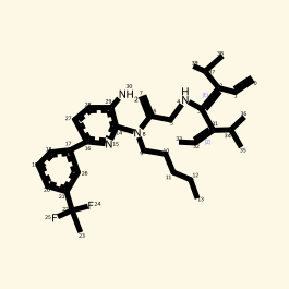 C=C/C(=C(NCC(=C)N(CCCCC)c1nc(-c2cccc(C(C)(F)F)c2)ccc1N)\C(=C/C)C(C)C)C(C)C